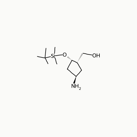 CC(C)(C)[Si](C)(C)O[C@H]1C[C@H](N)C[C@H]1CO